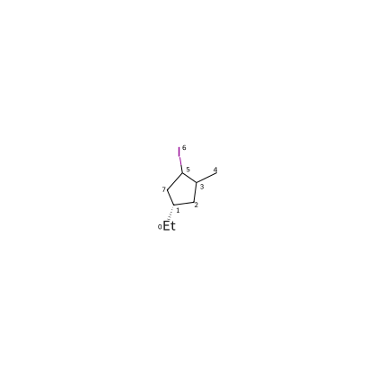 CC[C@H]1CC(C)C(I)C1